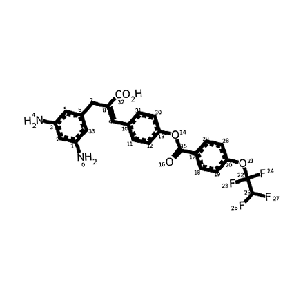 Nc1cc(N)cc(CC(=Cc2ccc(OC(=O)c3ccc(OC(F)(F)C(F)F)cc3)cc2)C(=O)O)c1